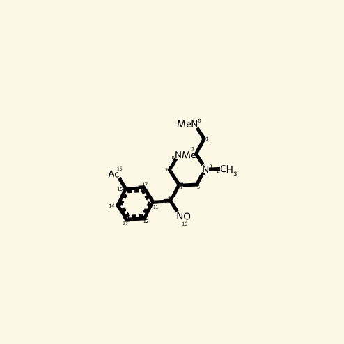 CNCCN(C)CC(CNC)C(N=O)c1cccc(C(C)=O)c1